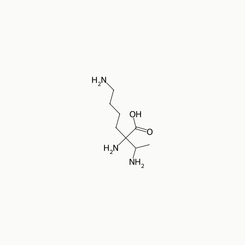 CC(N)C(N)(CCCCN)C(=O)O